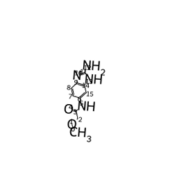 COCC(=O)Nc1ccc2nc(N)[nH]c2c1